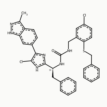 Cc1n[nH]c2cc(-c3nc([C@H](Cc4ccccc4)NC(=O)NCc4cc(Cl)ccc4SCc4ccccc4)[nH]c3Cl)ccc12